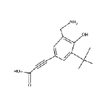 CC(C)(C)c1cc(C#CC(=O)O)cc(CN)c1O